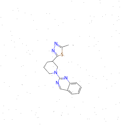 Cc1nnc(C2CCCN(c3ncc4ccccc4n3)C2)s1